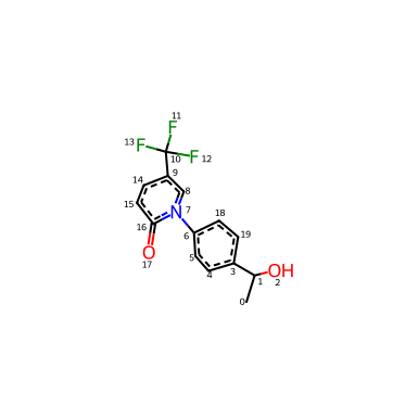 CC(O)c1ccc(-n2cc(C(F)(F)F)ccc2=O)cc1